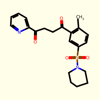 Cc1ccc(S(=O)(=O)N2CCCCC2)cc1C(=O)CCC(=O)c1ccccn1